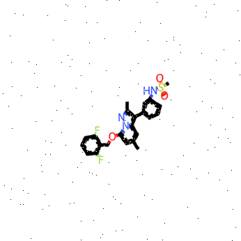 Cc1cc(OCc2c(F)cccc2F)n2nc(C)c(-c3cccc(NS(C)(=O)=O)c3)c2c1